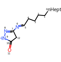 CCCCCCCCCCCC=NC1=NNC(=O)C1